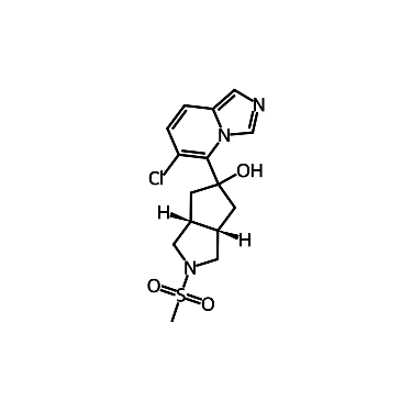 CS(=O)(=O)N1C[C@@H]2CC(O)(c3c(Cl)ccc4cncn34)C[C@@H]2C1